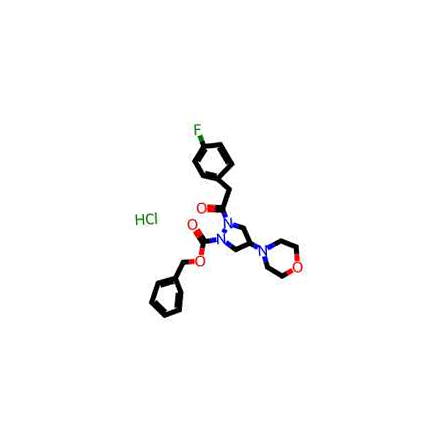 Cl.O=C(Cc1ccc(F)cc1)N1CC(N2CCOCC2)CN1C(=O)OCc1ccccc1